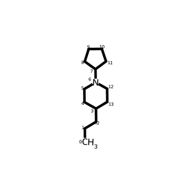 CC[CH]C1CCN(C2CCCC2)CC1